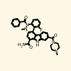 CN1CCN(C(=O)c2ccc3c(c2)[nH]c2c(C(N)=O)ccc(-c4c(F)cccc4N(C(=O)c4ccccc4)N(C)C)c23)CC1